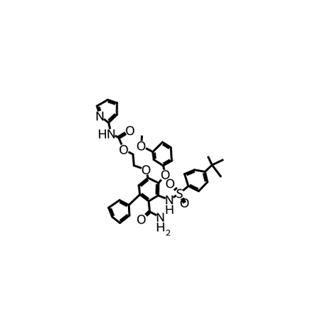 COc1cccc(Oc2c(OCCOC(=O)Nc3ccccn3)cc(-c3ccccc3)c(C(N)=O)c2NS(=O)(=O)c2ccc(C(C)(C)C)cc2)c1